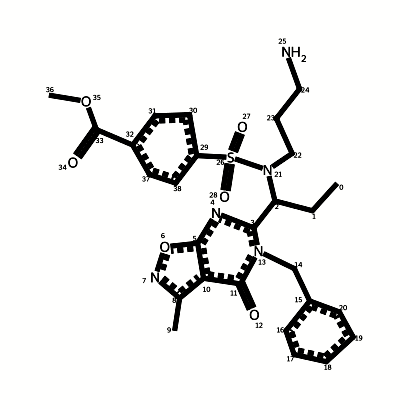 CCC(c1nc2onc(C)c2c(=O)n1Cc1ccccc1)N(CCCN)S(=O)(=O)c1ccc(C(=O)OC)cc1